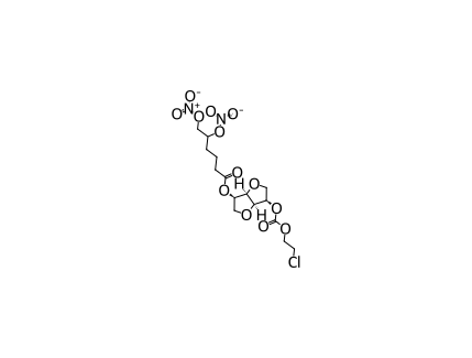 O=C(CCCC(CO[N+](=O)[O-])O[N+](=O)[O-])O[C@@H]1CO[C@H]2[C@@H]1OC[C@H]2OC(=O)OCCCl